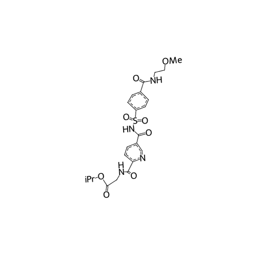 COCCNC(=O)c1ccc(S(=O)(=O)NC(=O)c2ccc(C(=O)NCC(=O)OC(C)C)nc2)cc1